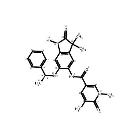 Cc1cc(C(=O)Nc2cc3c(cc2N[C@@H](C)c2ccccc2)N(C(C)C)C(=O)C3(C)C)cn(C)c1=O